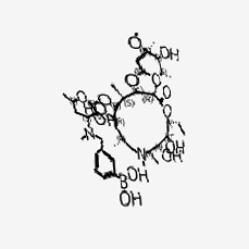 CC[C@H]1OC(=O)[C@H](C)[C@@H](O[C@H]2C[C@@](C)(OC)[C@@H](O)[C@H](C)O2)[C@H](C)[C@@H](O[C@@H]2O[C@H](C)C[C@H](N(C)Cc3cccc(B(O)O)c3)[C@H]2O)[C@](C)(O)C[C@@H](C)CN(C)[C@H](C)[C@@H](O)[C@]1(C)O